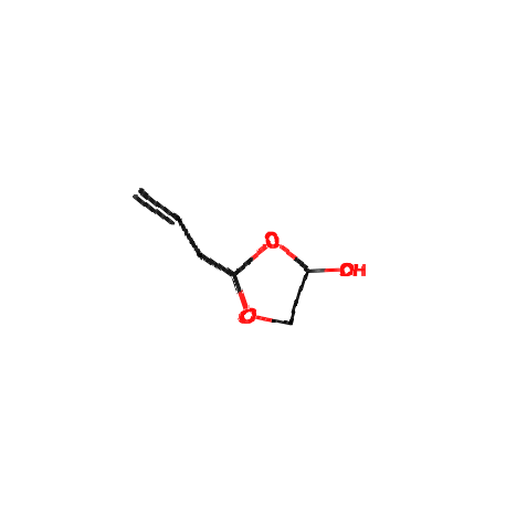 C=CCC1OCC(O)O1